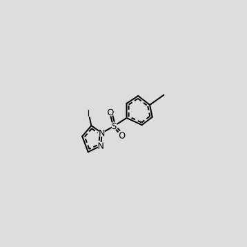 Cc1ccc(S(=O)(=O)n2nccc2I)cc1